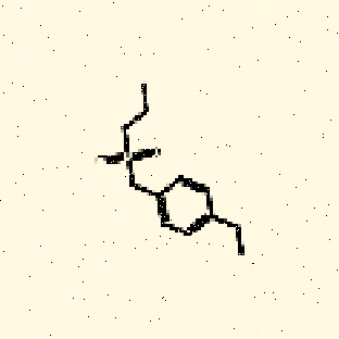 CCCS(=O)(=O)Cc1ccc(CC)cc1